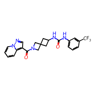 O=C(Nc1cccc(C(F)(F)F)c1)NC1CC2(C1)CN(C(=O)c1cnn3ccccc13)C2